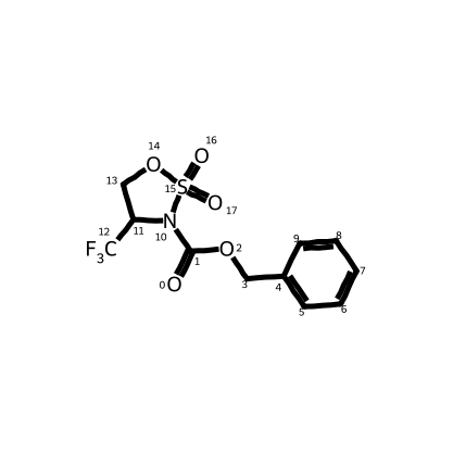 O=C(OCc1ccccc1)N1C(C(F)(F)F)COS1(=O)=O